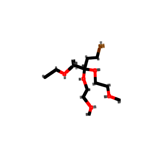 CCO[SiH2]C(CCS)(OCCOC)OCCOC